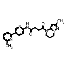 Cc1cccc(-c2ccc(NC(=O)CCC(=O)N3CCCn4nc(C)cc43)nc2)n1